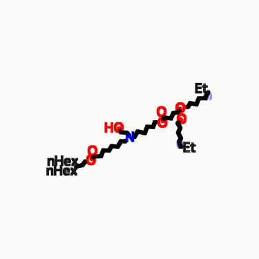 CC/C=C\CCCCOC(CCC(=O)OCCCCCCN(CCO)CCCCCCCC(=O)OCCC(CCCCCC)CCCCCC)OCCCC/C=C\CC